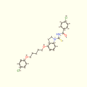 O=C(NC(=S)N1CCc2c(OCCCCCOc3ccc(Cl)cc3)cccc21)c1ccc(Cl)cc1